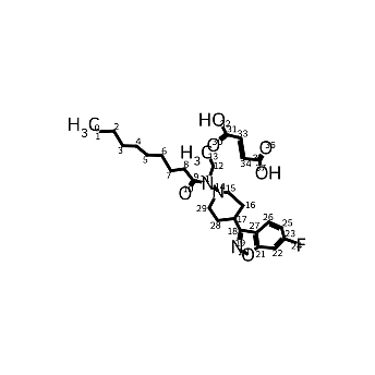 CCCCCCCCCC(=O)N(CC)N1CCC(c2noc3cc(F)ccc23)CC1.O=C(O)/C=C/C(=O)O